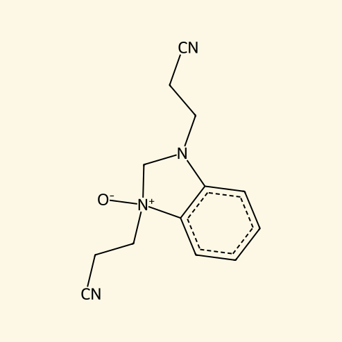 N#CCCN1C[N+]([O-])(CCC#N)c2ccccc21